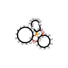 S=P12C3CCCCCCCCCCCCC3OC3CCCCCCCCC(OC4CCCCCCCCCCCC41)C32